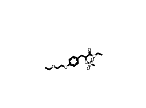 CCOCCOc1ccc(CC(OS(C)(=O)=O)C(=O)OCC)cc1